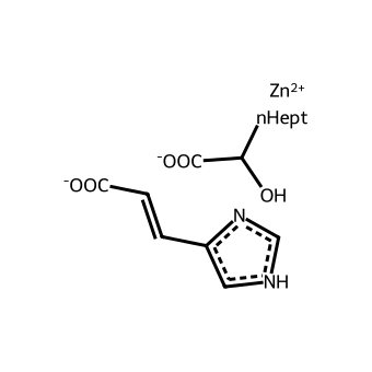 CCCCCCCC(O)C(=O)[O-].O=C([O-])C=Cc1c[nH]cn1.[Zn+2]